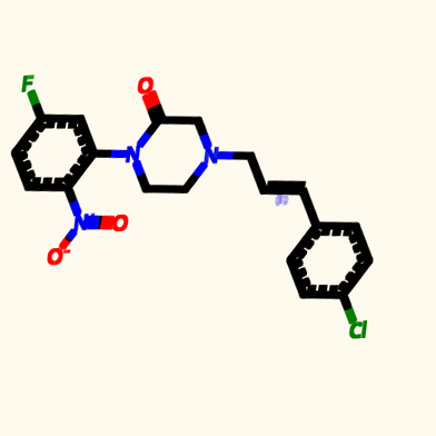 O=C1CN(C/C=C/c2ccc(Cl)cc2)CCN1c1cc(F)ccc1[N+](=O)[O-]